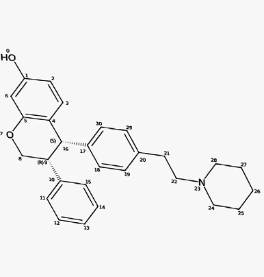 Oc1ccc2c(c1)OC[C@@H](c1ccccc1)[C@H]2c1ccc(CCN2CCCCC2)cc1